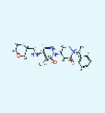 C[C@@H](c1ccccc1)N1CCC(n2ncc(NCC3CCCOC3)c(Cl)c2=O)CC1=O